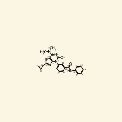 CN(C)c1nc(=O)n(-c2cccc(C(=O)Nc3ccccc3)c2)c2nc(C3CC3)sc12